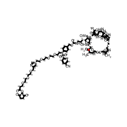 C=C1C[C@@H]2CC[C@@]34C[C@H]5O[C@H]6[C@@H](O3)[C@H]3O[C@H](CC[C@@H]3O[C@H]6[C@H]5O4)CC(=O)C[C@@H]3[C@@H](OC)[C@@H](C[C@H](O)CNC(=O)OCc4ccc(N(CCOCCOCCOCCn5cc(COCCOCCOCCC(=O)ON6C(=O)CCC6=O)nn5)S(=O)(=O)c5ccc(C#N)cn5)cc4)O[C@H]3C[C@H]3O[C@@H](CC[C@@H]1O2)C[C@@H](C)C3=C